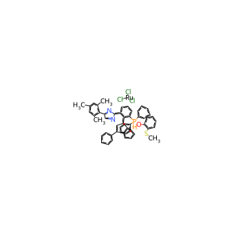 CSc1ccccc1O[PH](c1ccccc1)(c1ccccc1)c1cccc(=C2N=CC(c3c(C)cc(C)cc3C)=N2)c1=C1C=C(c2ccccc2)c2ccccc21.[Cl][Ru]([Cl])[Cl]